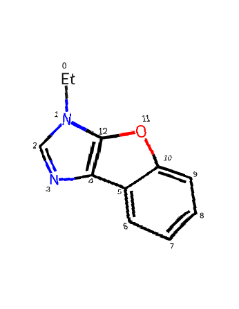 CCn1cnc2c3ccccc3oc21